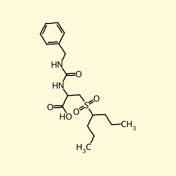 CCCC(CCC)S(=O)(=O)CC(NC(=O)NCc1ccccc1)C(=O)O